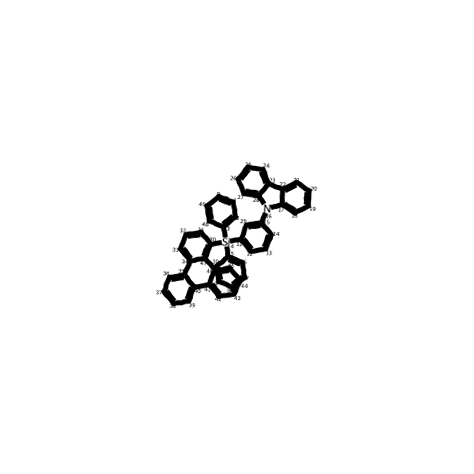 c1ccc([Si](c2ccccc2)(c2cccc(-n3c4ccccc4c4ccccc43)c2)c2cccc3c4ccccc4c4ccccc4c23)cc1